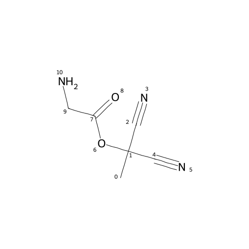 CC(C#N)(C#N)OC(=O)CN